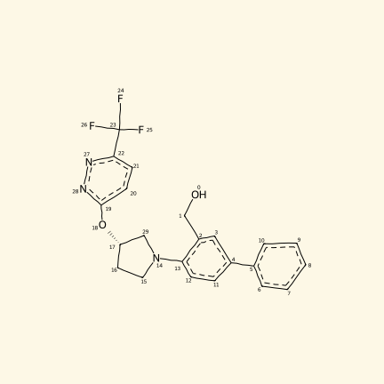 OCc1cc(-c2ccccc2)ccc1N1CC[C@H](Oc2ccc(C(F)(F)F)nn2)C1